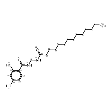 CCCCCCCCCCCCCC(=O)NCNC(=O)c1ccc(O)cc1O